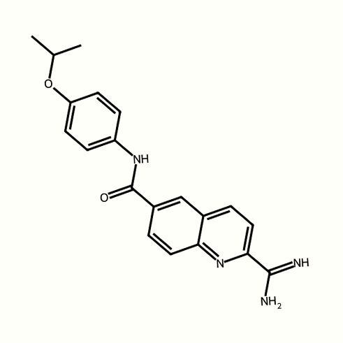 CC(C)Oc1ccc(NC(=O)c2ccc3nc(C(=N)N)ccc3c2)cc1